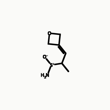 CC(C=C1COC1)[S+](N)[O-]